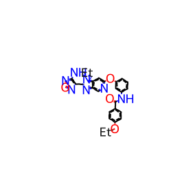 CCOc1ccc(C(=O)Nc2cccc(Oc3cc4c(cn3)nc(-c3nonc3N)n4CC)c2)cc1